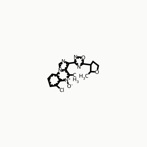 Cc1c2c(-c3noc(C4CCOC4C)n3)ncn2c2cccc(Cl)c2[n+]1[O-]